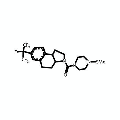 CSN1CCN(C(=O)N2CCC3c4ccc(C(F)(C(F)(F)F)C(F)(F)F)cc4CCC32)CC1